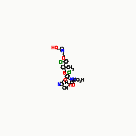 Cc1c(COc2cc(OCc3cncc(C#N)c3)c(CN[C@](C)(CO)C(=O)O)cc2Cl)cccc1-c1cccc(OCCCN2CCCC(CO)C2)c1Cl